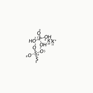 O=P(O)(O)O.O=S([O-])([O-])=S.[K+].[K+]